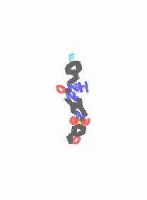 O=C(NCCc1ccc(F)cc1)N1CC2=C(C1)CN(S(=O)(=O)c1ccc3occc3c1)C2